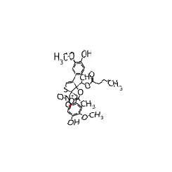 CCCC(=O)OC(C)C1(OC(C)=O)C(c2ccc(O)c(OC)c2)=CSC1(Cc1ccc(O)c(OC)c1)[N+](=O)[O-]